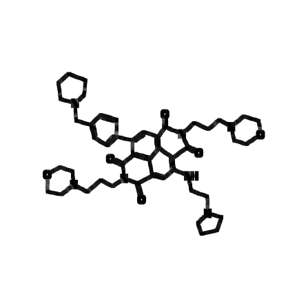 O=C1c2cc(-c3ccc(CN4CCCCC4)cc3)c3c4c(cc(NCCN5CCCC5)c(c24)C(=O)N1CCCN1CCOCC1)C(=O)N(CCCN1CCOCC1)C3=O